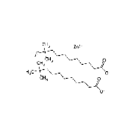 CC(C)(C)CCCCCCCCC(=O)[O-].CC(C)(C)CCCCCCCCC(=O)[O-].[Zn+2]